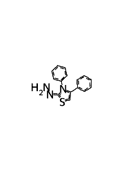 NN=c1scc(-c2ccccc2)n1-c1ccccc1